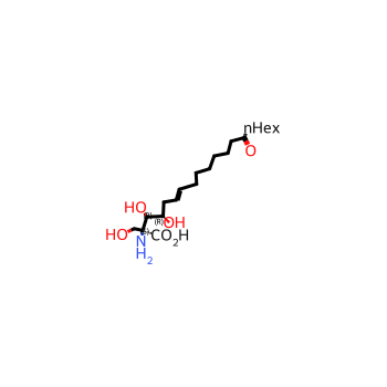 CCCCCCC(=O)CCCCCCC=CC[C@@H](O)[C@H](O)[C@@](N)(CO)C(=O)O